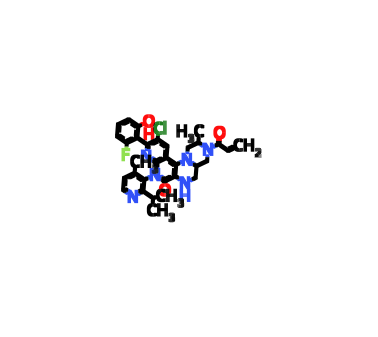 C=CC(=O)N1CC2CNc3c(c4cc(Cl)c(-c5c(O)cccc5F)nc4n(-c4c(C)ccnc4C(C)C)c3=O)N2CC1C